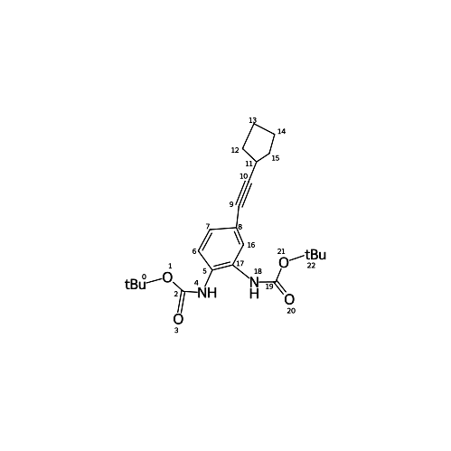 CC(C)(C)OC(=O)Nc1ccc(C#CC2CCCC2)cc1NC(=O)OC(C)(C)C